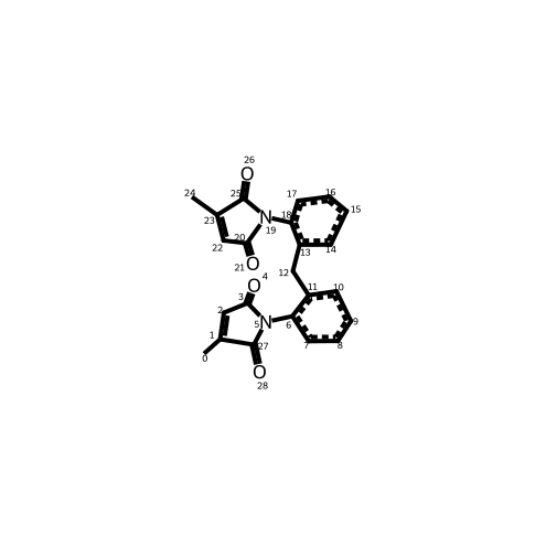 CC1=CC(=O)N(c2ccccc2Cc2ccccc2N2C(=O)C=C(C)C2=O)C1=O